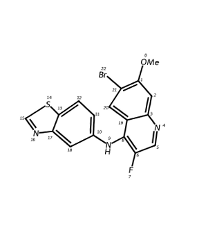 COc1cc2ncc(F)c(Nc3ccc4scnc4c3)c2cc1Br